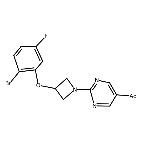 CC(=O)c1cnc(N2CC(Oc3cc(F)ccc3Br)C2)nc1